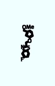 COCc1cccc(OCc2nc3cc(F)ccc3s2)c1